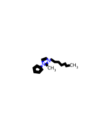 CCCCCCCN1C=CN(c2ccccc2)C1C